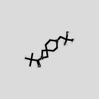 CC(C)(C)C(=O)N1CC2(CCN(CC(F)(F)F)CC2)C1